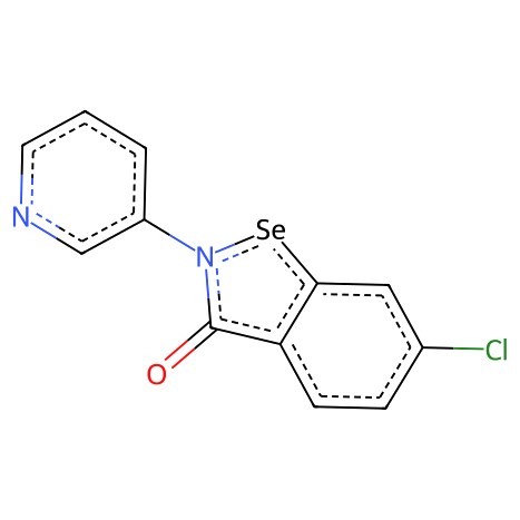 O=c1c2ccc(Cl)cc2[se]n1-c1cccnc1